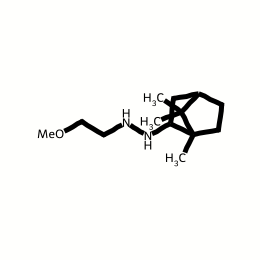 COCCNNC1CC2CCC1(C)C2(C)C